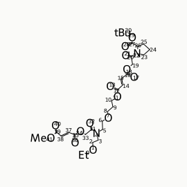 CCOCCN(CCOCCCOC(=O)/C=C/C(=O)OCC(=O)N1CCCC1C(=O)OC(C)(C)C)C(=O)COC(=O)/C=C/C(=O)OC